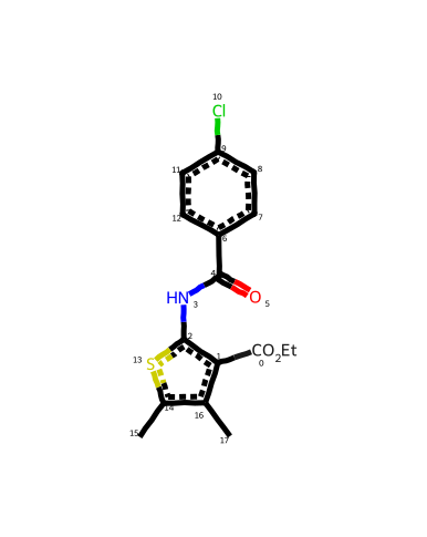 CCOC(=O)c1c(NC(=O)c2ccc(Cl)cc2)sc(C)c1C